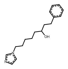 OC(CCCCCn1ccnc1)CCc1ccccc1